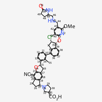 COc1nc(O[C@H]2CCc3c(-c4cccc(C5Cc6cc7c(c(C#N)c6O5)CC[C@H]7N5CC[C@@H](C(=O)O)C5)c4C)cccc32)c(Cl)cc1CNC[C@H]1CCC(=O)N1